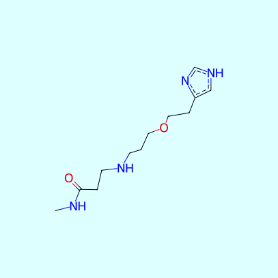 CNC(=O)CCNCCCOCCc1c[nH]cn1